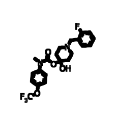 CN(C(=O)OC1(O)CCN(Cc2ccccc2F)CC1)c1ccc(OC(F)(F)F)cc1